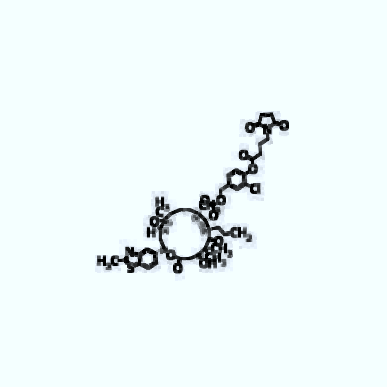 C=CC[C@H]1C(=O)C(C)(C)[C@@H](O)CC(=O)O[C@H](c2ccc3sc(C)nc3c2)C[C@H]2O[C@@]2(C)CCC[C@H](C)[C@@H]1OC(=O)OCc1ccc(OC(=O)CCCN2C(=O)C=CC2=O)c(Cl)c1